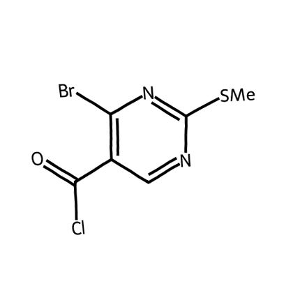 CSc1ncc(C(=O)Cl)c(Br)n1